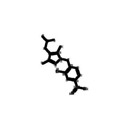 C[C](C)Cc1c(C)nn(Cc2ccc([N+](=O)[O-])cc2Cl)c1C